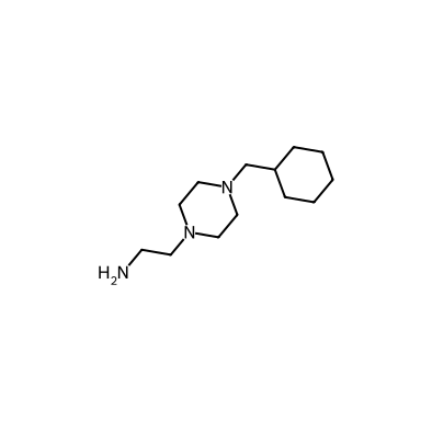 NCCN1CCN(CC2CCCCC2)CC1